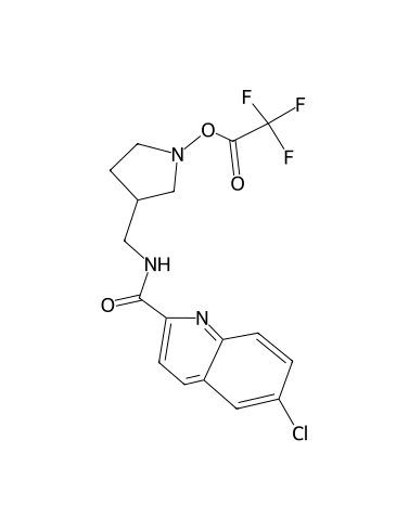 O=C(NCC1CCN(OC(=O)C(F)(F)F)C1)c1ccc2cc(Cl)ccc2n1